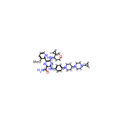 COc1cccnc1-c1nc(C(N)=O)c(Nc2ccc(N3CCC(N4CCN(C5CC5)CC4)CC3)cc2)nc1NC1CCOCC12CC2